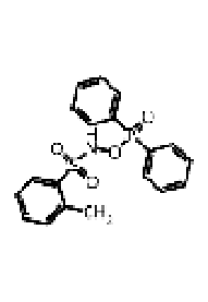 Cc1ccccc1S(=O)(=O)NOP(=O)(c1ccccc1)c1ccccc1